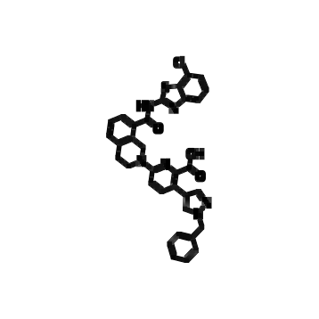 O=C(Nc1nc2cccc(Cl)c2s1)c1cccc2c1CN(c1ccc(-c3cnn(Cc4ccccc4)c3)c(C(=O)O)n1)CC2